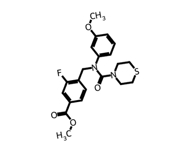 COC(=O)c1ccc(CN(C(=O)N2CCSCC2)c2cccc(OC)c2)c(F)c1